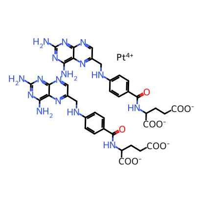 Nc1nc(N)c2nc(CNc3ccc(C(=O)NC(CCC(=O)[O-])C(=O)[O-])cc3)cnc2n1.Nc1nc(N)c2nc(CNc3ccc(C(=O)NC(CCC(=O)[O-])C(=O)[O-])cc3)cnc2n1.[Pt+4]